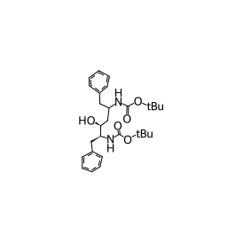 CC(C)(C)OC(=O)NC(Cc1ccccc1)C[C@H](O)[C@H](Cc1ccccc1)NC(=O)OC(C)(C)C